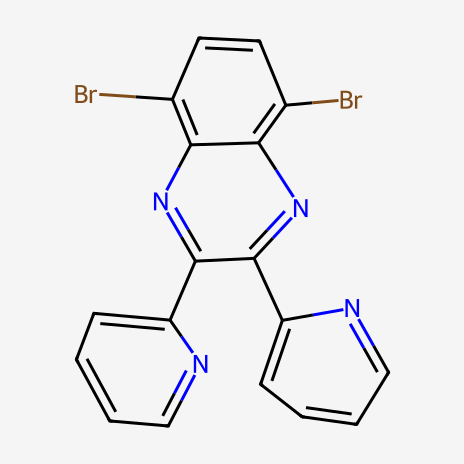 Brc1ccc(Br)c2nc(-c3ccccn3)c(-c3ccccn3)nc12